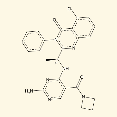 C[C@H](Nc1nc(N)ncc1C(=O)N1CCC1)c1nc2cccc(Cl)c2c(=O)n1-c1ccccc1